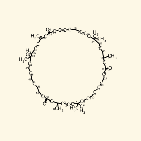 CC1CCCC(C)(C)OCCCCCCOC(=O)CC(C)CCCC(C)(C)OCCCCCCOC(=O)CC(C)CCCC(C)(C)OCCCCCCOC(=O)C1